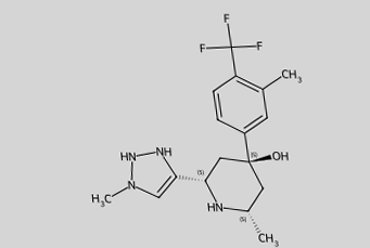 Cc1cc([C@@]2(O)C[C@@H](C3=CN(C)NN3)N[C@@H](C)C2)ccc1C(F)(F)F